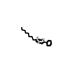 CCCCCCCCc1cn2cc(-c3ccccc3)nc2s1